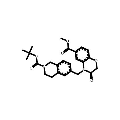 COC(=O)c1ccc2c(c1)N(Cc1ccc3c(c1)CCN(C(=O)OC(C)(C)C)C3)C(=O)CO2